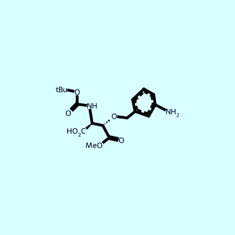 COC(=O)[C@@H](OCc1cccc(N)c1)[C@H](NC(=O)OC(C)(C)C)C(=O)O